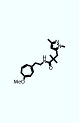 COC1=CC=C(CCNC(=O)C(C)(C)Cc2cc(C)nn2C)C=CC1